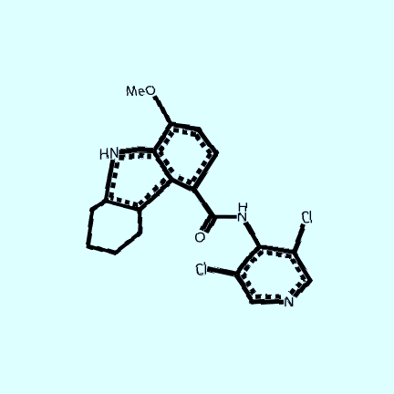 COc1ccc(C(=O)Nc2c(Cl)cncc2Cl)c2c3c([nH]c12)CCCC3